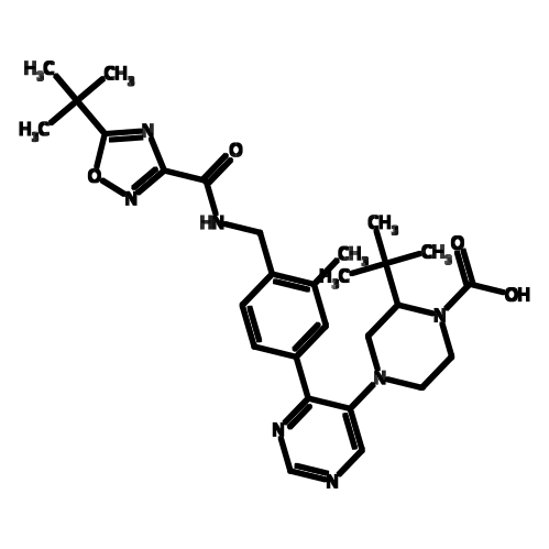 Cc1cc(-c2ncncc2N2CCN(C(=O)O)C(C(C)(C)C)C2)ccc1CNC(=O)c1noc(C(C)(C)C)n1